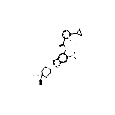 C#C[C@]1(O)CC[C@H](n2cc3cc(NC(=O)c4cccc(C5CC5)[n+]4O)c(N(C)C)cc3n2)CC1